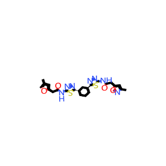 Cc1coc(CC(=O)Nc2nnc([C@H]3CCC[C@H](c4nnc(NC(=O)Cc5cc(C)no5)s4)C3)s2)c1